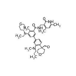 CCCN(C)c1cc(-c2cc(C(=O)NCc3c(C)cc(C)[nH]c3=O)c(C)c(N(CC)C3CCOCC3)c2)ccc1C1(C=O)CCOCC1